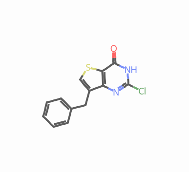 O=c1[nH]c(Cl)nc2c(Cc3ccccc3)csc12